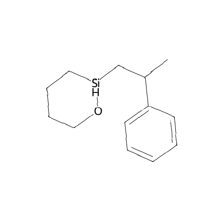 CC(C[SiH]1CCCCO1)c1ccccc1